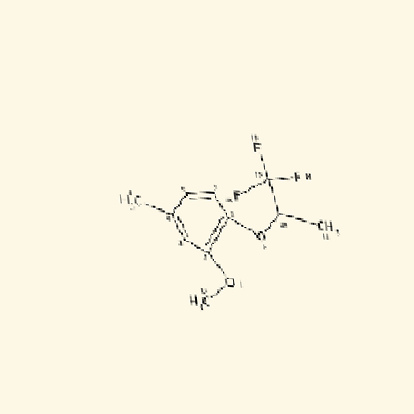 COc1cc(C)ccc1OC(C)C(F)(F)F